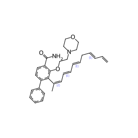 C=C/C=C/C/C=C/C=C/C=C(/C)c1c(-c2ccccc2)ccc(C(N)=O)c1OCCN1CCOCC1